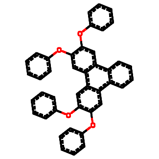 c1ccc(Oc2cc3c4ccccc4c4cc(Oc5ccccc5)c(Oc5ccccc5)cc4c3cc2Oc2ccccc2)cc1